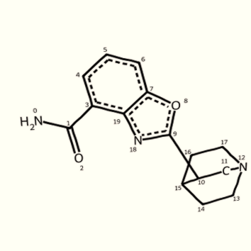 NC(=O)c1cccc2oc(C3CN4CCC3CC4)nc12